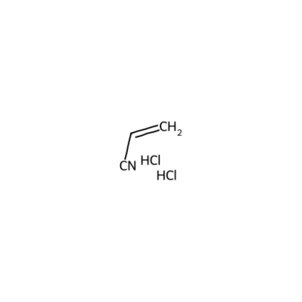 C=CC#N.Cl.Cl